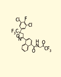 O=C(NCC(=O)C(F)(F)F)c1ccc(C2=NOC(c3cc(Cl)c(F)c(Cl)c3)(C(F)(F)F)C2)c2ccccc12